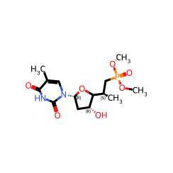 COP(=O)(C[C@@H](C)C1O[C@@H](n2cc(C)c(=O)[nH]c2=O)C[C@H]1O)OC